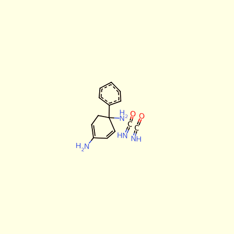 N=C=O.N=C=O.NC1=CCC(N)(c2ccccc2)C=C1